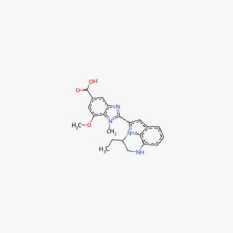 CCC1CNc2cccc3cc(-c4nc5cc(C(=O)O)cc(OC)c5n4C)n1c23